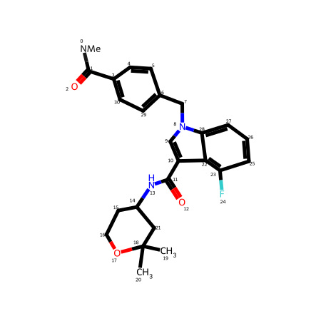 CNC(=O)c1ccc(Cn2cc(C(=O)NC3CCOC(C)(C)C3)c3c(F)cccc32)cc1